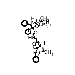 CC(C)C[C@@H](NC(=O)CNC(=O)[C@@H]1CCCN1C(=O)[C@H](NC(=O)OC(C)(C)C)c1ccccc1)C(=O)OCc1ccccc1